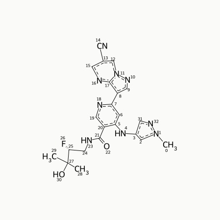 Cn1cc(Nc2cc(-c3cnn4cc(C#N)cnc34)ncc2C(=O)NC[C@@H](F)C(C)(C)O)cn1